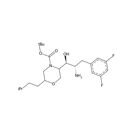 CC(C)CCC1CN(C(=O)OC(C)(C)C)C([C@@H](O)[C@@H](N)Cc2cc(F)cc(F)c2)CO1